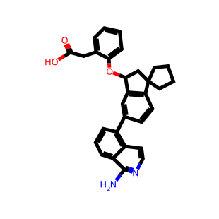 Nc1nccc2c(-c3ccc4c(c3)C(Oc3ccccc3CC(=O)O)CC43CCCC3)cccc12